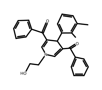 Cc1cccc(C2C(C(=O)c3ccccc3)=CN(CCO)C=C2C(=O)c2ccccc2)c1C